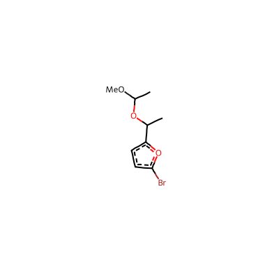 COC(C)OC(C)c1ccc(Br)o1